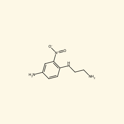 NCCNc1ccc(N)cc1[N+](=O)[O-]